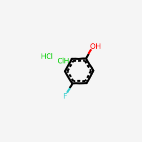 Cl.Cl.Oc1ccc(F)cc1